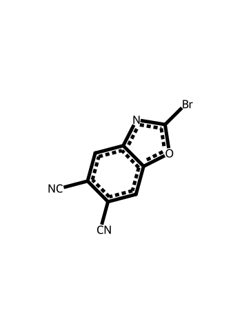 N#Cc1cc2nc(Br)oc2cc1C#N